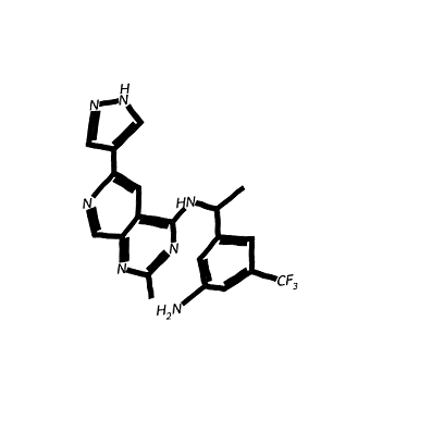 Cc1nc(NC(C)c2cc(N)cc(C(F)(F)F)c2)c2cc(-c3cn[nH]c3)ncc2n1